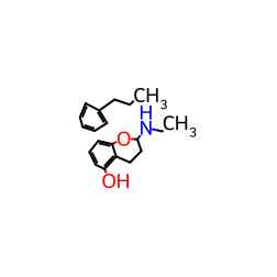 CCCc1ccccc1.CCNC1CCc2c(O)cccc2O1